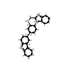 c1ccc2c(c1)nc1n2-c2ccc(-c3ccc4oc5ccccc5c4c3)cc2SC1